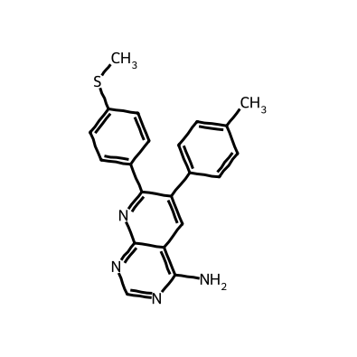 CSc1ccc(-c2nc3ncnc(N)c3cc2-c2ccc(C)cc2)cc1